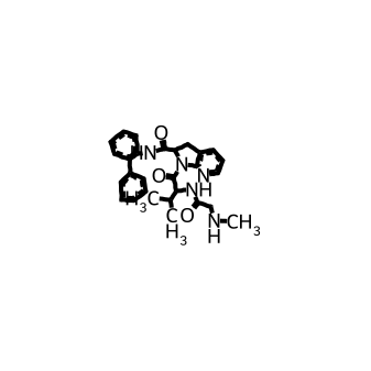 CNCC(=O)NC(C(=O)N1c2ncccc2CC1C(=O)Nc1ccccc1-c1ccccc1)C(C)C